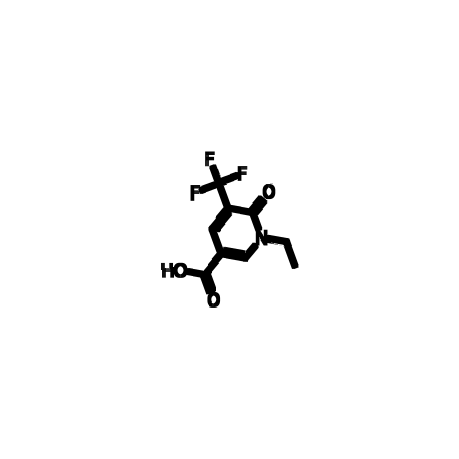 CCn1cc(C(=O)O)cc(C(F)(F)F)c1=O